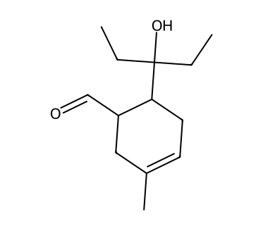 CCC(O)(CC)C1CC=C(C)CC1C=O